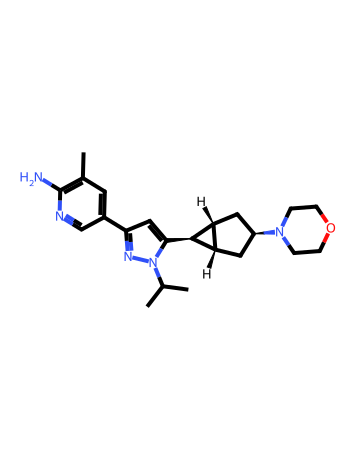 Cc1cc(-c2cc([C@H]3[C@@H]4C[C@@H](N5CCOCC5)C[C@@H]43)n(C(C)C)n2)cnc1N